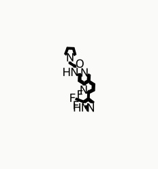 O=C(CN1CCCC1)Nc1cc2nc(-c3cn[nH]c3C(F)(F)F)ccc2cn1